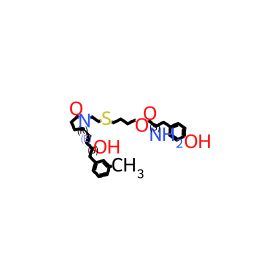 Cc1cccc(C[C@H](O)/C=C/[C@H]2CCC(=O)N2CCSCCCCOC(=O)[C@@H](N)Cc2ccc(O)cc2)c1